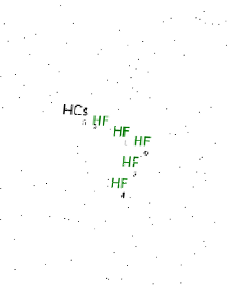 F.F.F.F.F.[CsH]